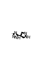 [c]1n[nH]c(-c2cn[nH]c2)n1